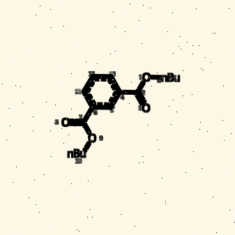 CCCCOC(=O)c1[c]c(C(=O)OCCCC)ccc1